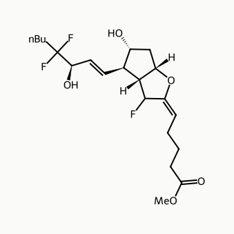 CCCCC(F)(F)[C@H](O)C=C[C@@H]1[C@H]2C(F)C(=CCCCC(=O)OC)O[C@H]2C[C@H]1O